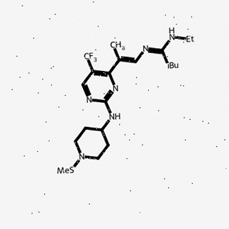 CCN/C(=N/C=C(\C)c1nc(NC2CCN(SC)CC2)ncc1C(F)(F)F)C(C)CC